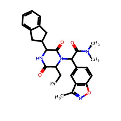 Cc1noc2ccc(C(C(=O)N(C)C)N3C(=O)C(C4Cc5ccccc5C4)NC(=O)C3CC(C)C)cc12